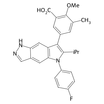 COc1c(C)cc(-c2c(C(C)C)n(-c3ccc(F)cc3)c3cc4cn[nH]c4cc23)cc1C(=O)O